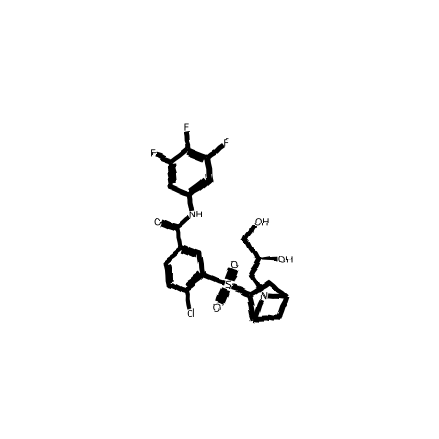 O=C(Nc1cc(F)c(F)c(F)c1)c1ccc(Cl)c(S(=O)(=O)C2CC3CC2N3C[C@H](O)CO)c1